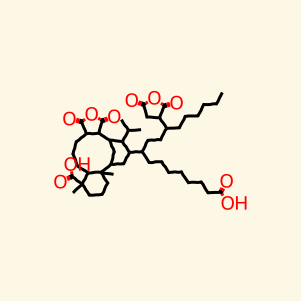 CCCCCCC(CCC(CCCCCCCC(=O)O)C1CC2CC(C3C(=O)OC(=O)C3CCCC3C(C)(C(=O)O)CCCC23C)C1C(C)C)C1CC(=O)OC1=O